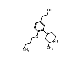 CC1CN(c2cc(CCO)ccc2OCCCN)CCN1